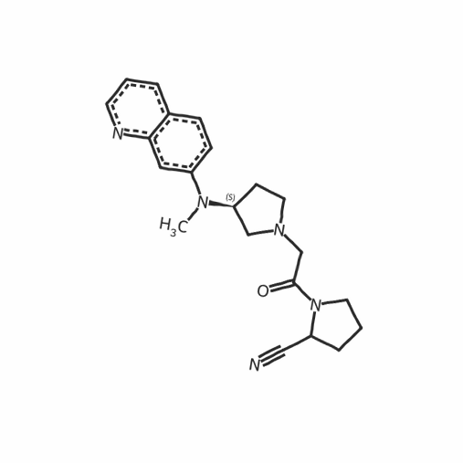 CN(c1ccc2cccnc2c1)[C@H]1CCN(CC(=O)N2CCCC2C#N)C1